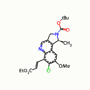 CCOC(=O)/C=C/c1c(Cl)c(OC)cc2c3c(cnc12)CN(C(=O)OC(C)(C)C)[C@H]3C